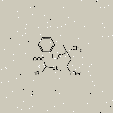 CCCCC(CC)C(=O)[O-].CCCCCCCCCCCC[N+](C)(C)Cc1ccccc1